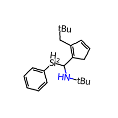 CC(C)(C)CC1=C(C(NC(C)(C)C)[SiH2]c2ccccc2)CC=C1